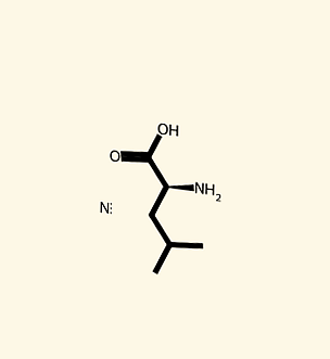 CC(C)C[C@H](N)C(=O)O.[N]